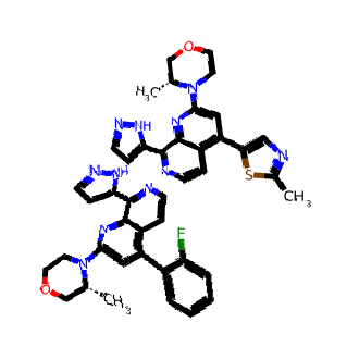 C[C@@H]1COCCN1c1cc(-c2ccccc2F)c2ccnc(-c3ccn[nH]3)c2n1.Cc1ncc(-c2cc(N3CCOC[C@H]3C)nc3c(-c4ccn[nH]4)nccc23)s1